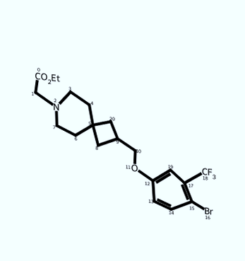 CCOC(=O)CN1CCC2(CC1)CC(COc1ccc(Br)c(C(F)(F)F)c1)C2